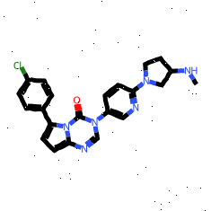 CNC1CCN(c2ccc(-n3cnc4ccc(-c5ccc(Cl)cc5)n4c3=O)cn2)C1